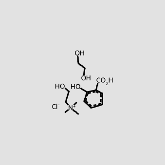 C[N+](C)(C)CCO.O=C(O)c1ccccc1O.OCCO.[Cl-]